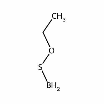 BSOCC